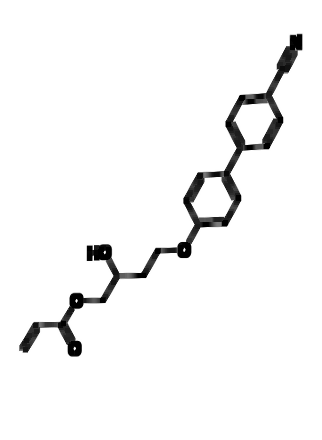 C=CC(=O)OCC(O)CCOc1ccc(-c2ccc(C#N)cc2)cc1